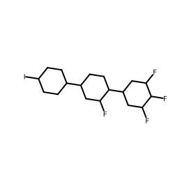 FC1CC(C2CCC(C3CCC(I)CC3)CC2F)CC(F)C1F